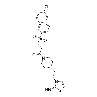 N=c1sccn1CCC1CCN(C(=O)CCS(=O)(=O)c2ccc3cc(Cl)ccc3c2)CC1